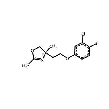 C[C@]1(CCOc2ccc(F)c(Cl)c2)COC(N)=N1